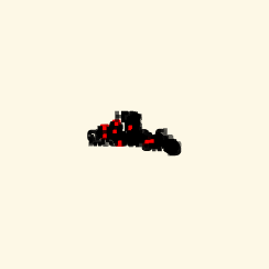 COC1(Cc2ccccc2-c2ccc(Cl)cc2)CCN(c2ccc(C(=O)NS(=O)(=O)c3cnc(OCC4(F)CCOCC4)c(Cl)c3)c(Oc3cnc4[nH]ccc4c3)c2)CC1